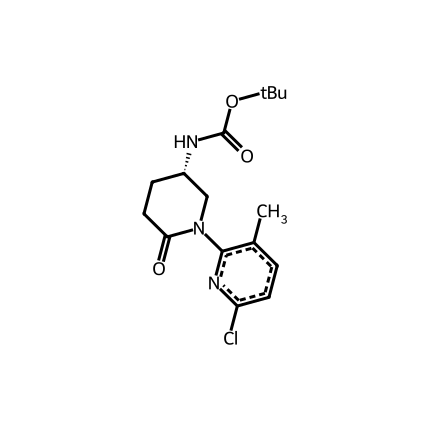 Cc1ccc(Cl)nc1N1C[C@@H](NC(=O)OC(C)(C)C)CCC1=O